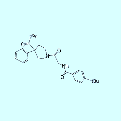 CCCC(=O)C1(c2ccccc2)CCN(C(=O)CNC(=O)c2ccc(C(C)(C)C)cc2)CC1